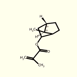 C=C(C)C(=O)OC1C[C@@H]2CCC1[C@H]2C